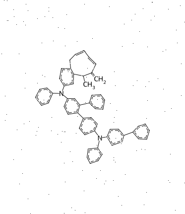 C=C1/C=C\C=C/Cc2ccc(N(c3ccccc3)c3ccc(-c4ccc(N(c5ccccc5)c5ccc(-c6ccccc6)cc5)cc4)c(-c4ccccc4)c3)cc2C1C